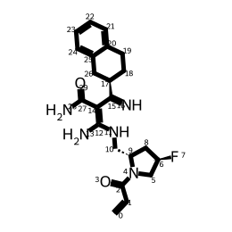 C=CC(=O)N1C[C@H](F)C[C@H]1CN/C(N)=C(\C(=N)[C@@H]1CCc2ccccc2C1)C(N)=O